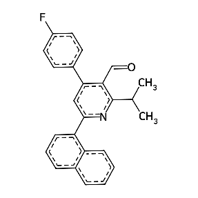 CC(C)c1nc(-c2cccc3ccccc23)cc(-c2ccc(F)cc2)c1C=O